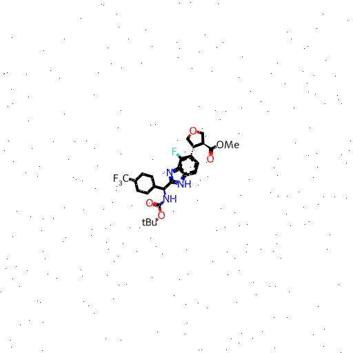 COC(=O)[C@@H]1COC[C@H]1c1ccc2[nH]c([C@@H](NC(=O)OC(C)(C)C)C3CCC(C(F)(F)F)CC3)nc2c1F